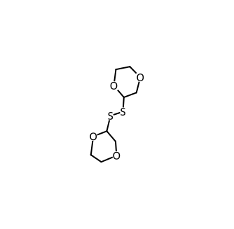 C1COC(SSC2COCCO2)CO1